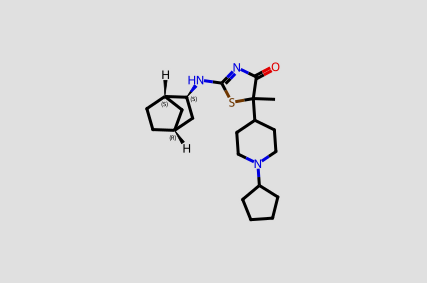 CC1(C2CCN(C3CCCC3)CC2)SC(N[C@H]2C[C@@H]3CC[C@H]2C3)=NC1=O